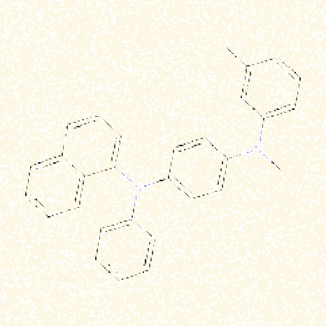 Cc1cccc(N(C)c2ccc(N(c3ccccc3)c3cccc4ccccc34)cc2)c1